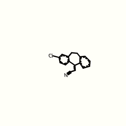 N#C/C=C1/c2ccccc2CCc2cc(Cl)ccc21